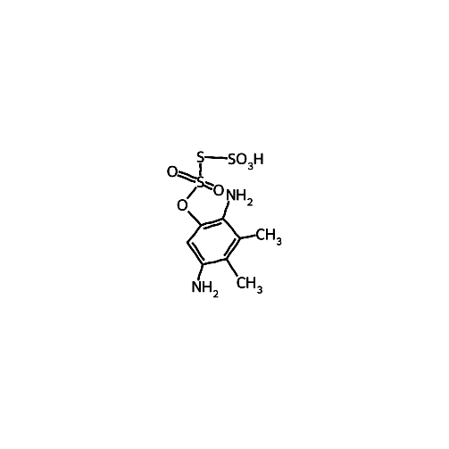 Cc1c(N)cc(OS(=O)(=O)SS(=O)(=O)O)c(N)c1C